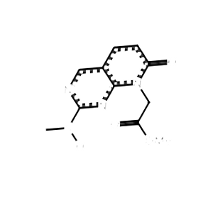 COC(=O)Cn1c(=O)ccc2cnc([S+](C)[O-])nc21